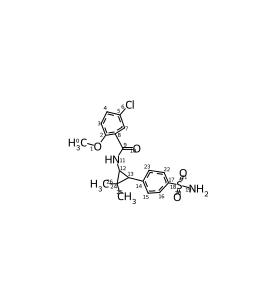 COc1ccc(Cl)cc1C(=O)NC1C(c2ccc(S(N)(=O)=O)cc2)C1(C)C